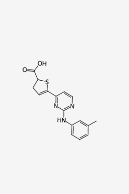 Cc1cccc(Nc2nccc(C3=CCC(C(=O)O)S3)n2)c1